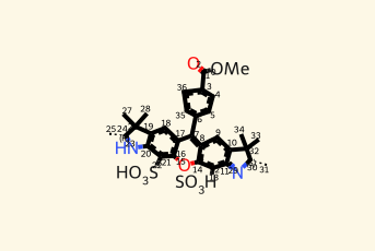 COC(=O)c1ccc(C2=c3cc4c(c(S(=O)(=O)O)c3Oc3c2cc2c(c3S(=O)(=O)O)N[C@H](C)C2(C)C)=N[C@@H](C)C4(C)C)cc1